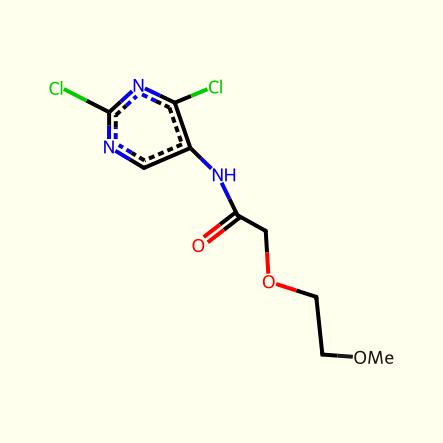 COCCOCC(=O)Nc1cnc(Cl)nc1Cl